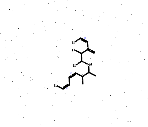 C=C(/C=C\CC)C(CC)C(CC)NC(C)C(C)/C=C\C=C/CC